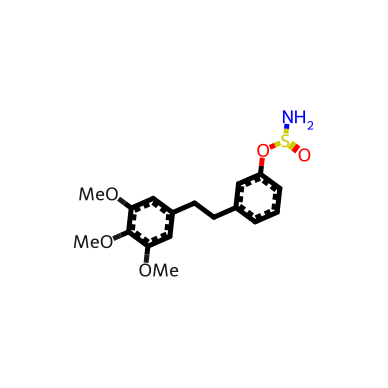 COc1cc(CCc2cccc(OS(N)=O)c2)cc(OC)c1OC